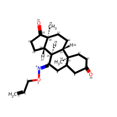 C=CCO/N=C1\CC2CC(=O)CC[C@]2(C)[C@H]2CC[C@]3(C)C(=O)CC[C@H]3[C@H]12